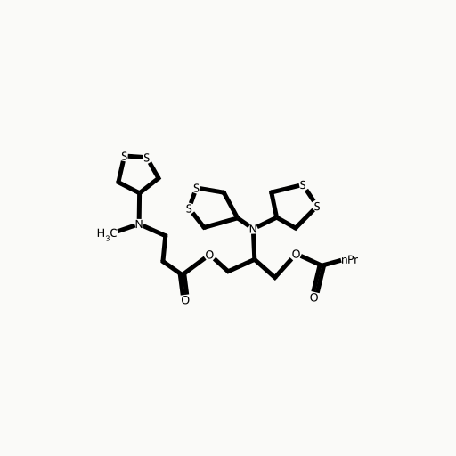 CCCC(=O)OCC(COC(=O)CCN(C)C1CSSC1)N(C1CSSC1)C1CSSC1